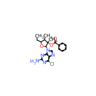 CCC1OC(n2cnc3c(Cl)nc(N)nc32)C(C)(OC(=O)c2ccccc2)C1C